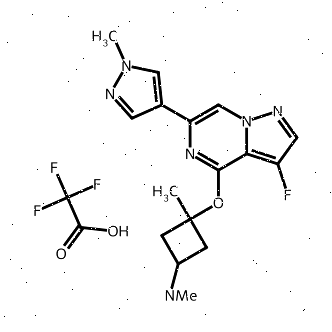 CNC1CC(C)(Oc2nc(-c3cnn(C)c3)cn3ncc(F)c23)C1.O=C(O)C(F)(F)F